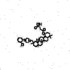 COc1ccccc1N1CCN(CC2(C)CC[C@]3(C)CC[C@]4(C)C(=CCC5[C@@]6(C)C(OC(=O)CCC(=O)O)CCC(C)(C)C6CC[C@]54C)[C@@H]3C2)CC1